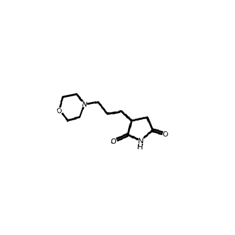 O=C1CC(CCCN2CCOCC2)C(=O)N1